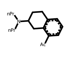 CCCN(CCC)C1CCc2cccc(C(C)=O)c2C1